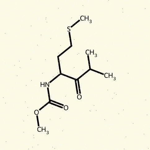 COC(=O)NC(CCSC)C(=O)C(C)C